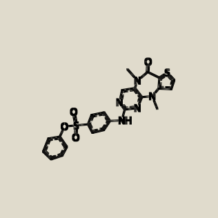 CN1C(=O)c2sccc2N(C)c2nc(Nc3ccc(S(=O)(=O)Oc4ccccc4)cc3)ncc21